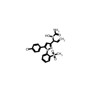 C=CC(c1cc(-c2ccc(Cl)cc2)n(-c2ccccc2S(C)(=O)=O)n1)N(O)C(N)=O